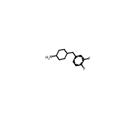 NC1CCC(Cc2ccc(F)c(F)c2)CC1